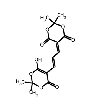 CC1(C)OC(=O)C(=C/C=C/C2=C(O)OC(C)(C)OC2=O)C(=O)O1